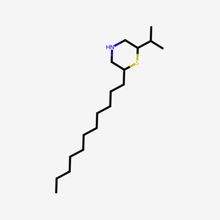 CCCCCCCCCCCC1CNCC(C(C)C)S1